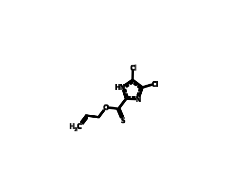 C=CCOC(=S)c1nc(Cl)c(Cl)[nH]1